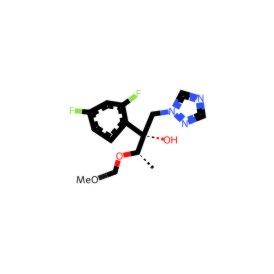 COCO[C@@H](C)[C@](O)(Cn1cncn1)c1ccc(F)cc1F